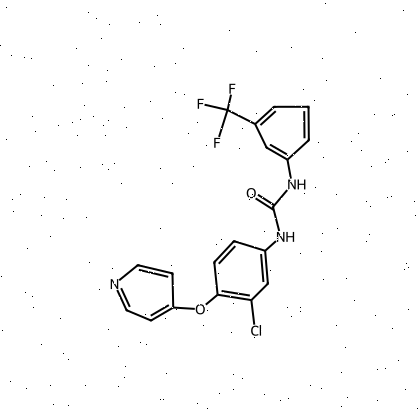 O=C(Nc1cccc(C(F)(F)F)c1)Nc1ccc(Oc2ccncc2)c(Cl)c1